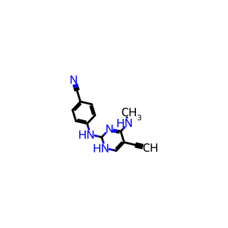 C#CC1=CNC(Nc2ccc(C#N)cc2)N=C1NC